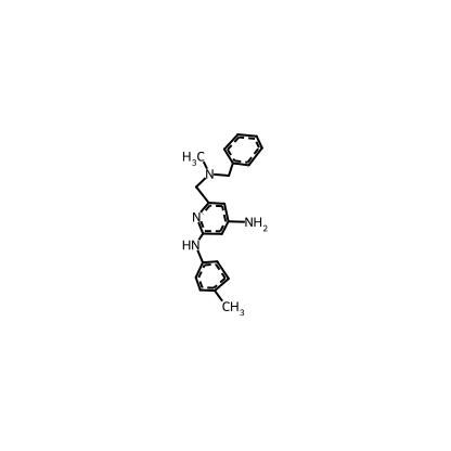 Cc1ccc(Nc2cc(N)cc(CN(C)Cc3ccccc3)n2)cc1